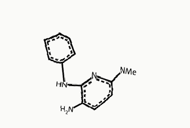 CNc1ccc(N)c(Nc2ccccc2)n1